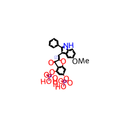 COc1ccc2[nH]c(-c3ccccc3)c(/C=C3\Oc4cc(OP(=O)(O)O)cc(OP(=O)(O)O)c4C3=O)c2c1